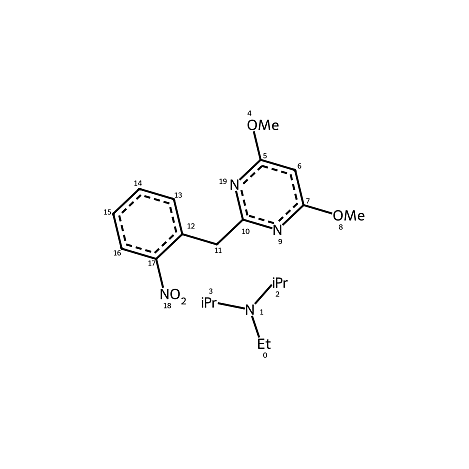 CCN(C(C)C)C(C)C.COc1cc(OC)nc(Cc2ccccc2[N+](=O)[O-])n1